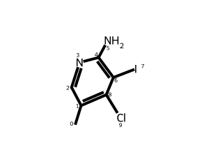 Cc1cnc(N)c(I)c1Cl